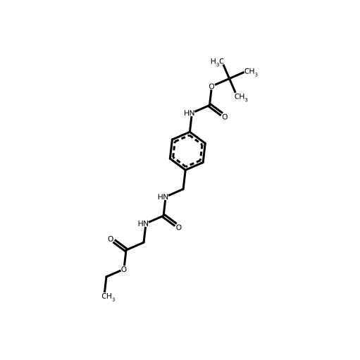 CCOC(=O)CNC(=O)NCc1ccc(NC(=O)OC(C)(C)C)cc1